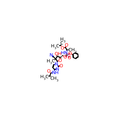 CC(C)OC(=O)[C@H](C)N[P@@](=O)(OC[C@H]1OC(n2ccc(NC(=O)C(C)C)nc2=O)[C@](C)(C#N)[C@@H]1O)Oc1ccccc1